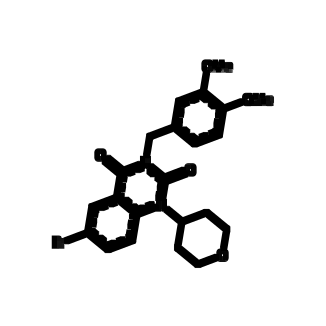 COc1ccc(Cn2c(=O)c3cc(Br)ccc3n(C3CCOCC3)c2=O)cc1OC